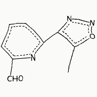 Cc1onnc1-c1cccc(C=O)n1